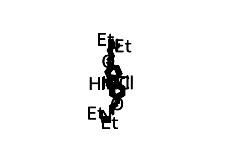 CCN(CC)CCOc1ccc2c(c1)[nH]c1cc(OCCN(CC)CC)ccc12.Cl.Cl